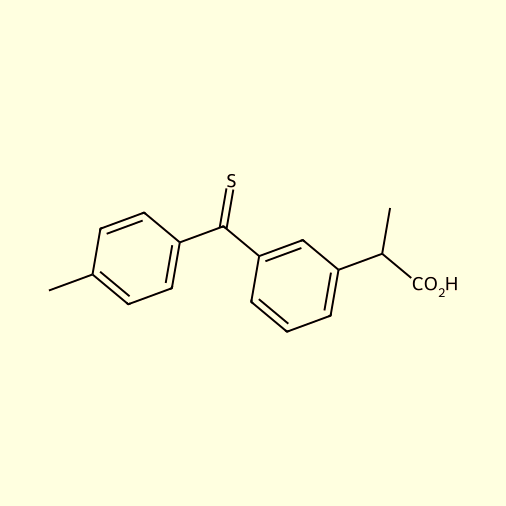 Cc1ccc(C(=S)c2cccc(C(C)C(=O)O)c2)cc1